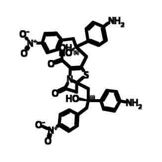 Nc1ccc([C@@](O)(CC2=C(C(=O)O)N3C(=O)CC3(C[C@@](O)(Cc3ccc([N+](=O)[O-])cc3)c3ccc(N)cc3)S2)Cc2ccc([N+](=O)[O-])cc2)cc1